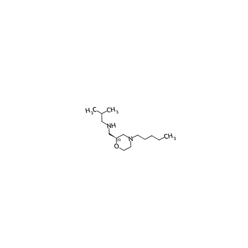 CCCCCN1CCO[C@@H](CNCC(C)C)C1